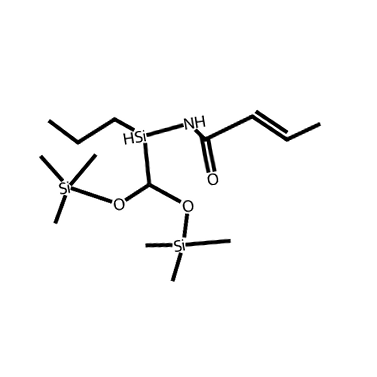 CC=CC(=O)N[SiH](CCC)C(O[Si](C)(C)C)O[Si](C)(C)C